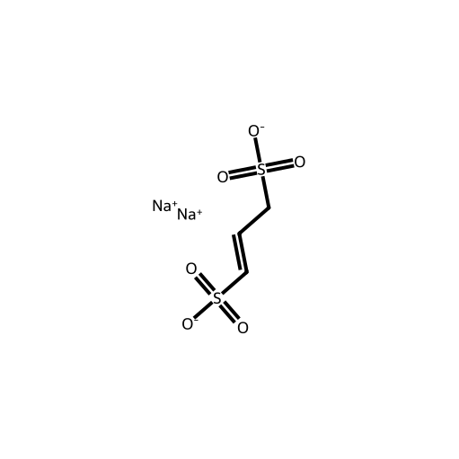 O=S(=O)([O-])C=CCS(=O)(=O)[O-].[Na+].[Na+]